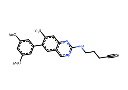 C#CCCCNc1ncc2cc(-c3cc(OC)cc(OC)c3)c([N+](=O)[O-])cc2n1